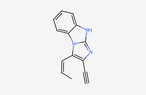 C#Cc1nc2[nH]c3ccccc3n2c1/C=C\C